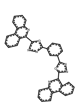 c1cc(-c2nnc(-c3nc4ccccc4c4ccccc34)o2)cc(-c2nnc(-c3nc4ccccc4c4ccccc34)o2)c1